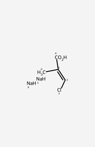 CC(=CCl)C(=O)O.[NaH].[NaH]